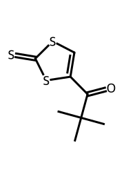 CC(C)(C)C(=O)c1csc(=S)s1